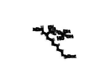 CCCCCCCCCCCCCCCCCC(CCCCCCCCCCC)N(C)C.O=P(O)(O)O